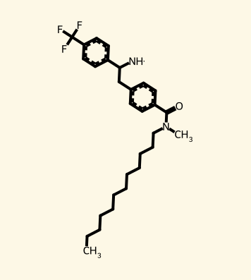 CCCCCCCCCCCCN(C)C(=O)c1ccc(CC([NH])c2ccc(C(F)(F)F)cc2)cc1